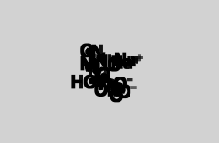 O.O=c1nc[nH]c2c1ncn2C1OC(COP(=O)([O-])[O-])C(O)C1O.[Na+].[Na+]